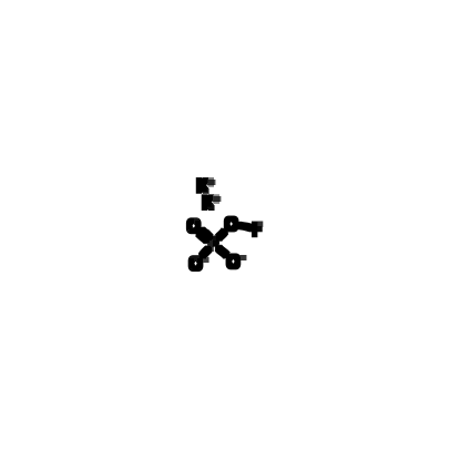 O=P([O-])([O-])OF.[K+].[K+]